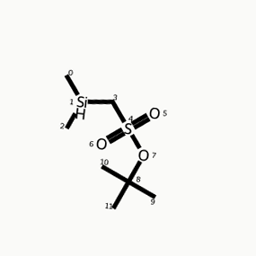 C[SiH](C)CS(=O)(=O)OC(C)(C)C